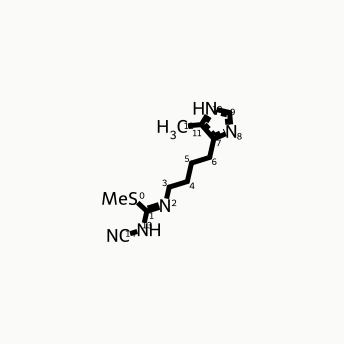 CS/C(=N\CCCCc1nc[nH]c1C)NC#N